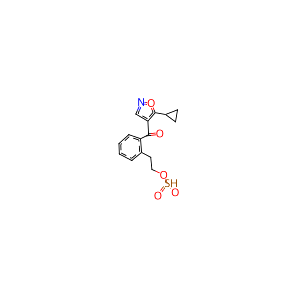 O=C(c1ccccc1CCO[SH](=O)=O)c1cnoc1C1CC1